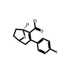 CCC(=O)C1=C(c2ccc(F)cc2)CC2CC[C@@H]1S2